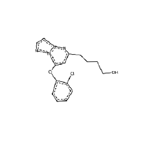 OCCCCc1cc(Oc2ccccc2Cl)n2nccc2n1